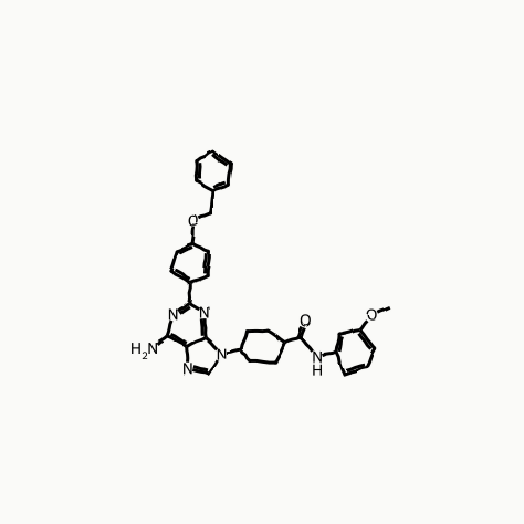 COc1cccc(NC(=O)C2CCC(n3cnc4c(N)nc(-c5ccc(OCc6ccccc6)cc5)nc43)CC2)c1